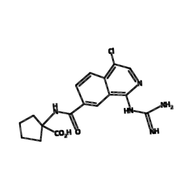 N=C(N)Nc1ncc(Cl)c2ccc(C(=O)NC3(C(=O)O)CCCC3)cc12